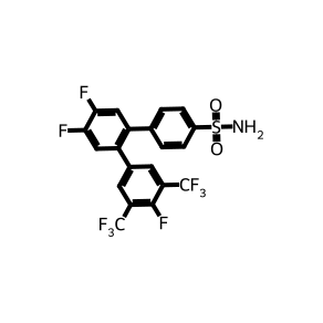 NS(=O)(=O)c1ccc(-c2cc(F)c(F)cc2-c2cc(C(F)(F)F)c(F)c(C(F)(F)F)c2)cc1